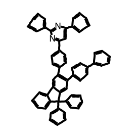 c1ccc(-c2ccc(-c3cc4c(cc3-c3ccc(-c5cc(-c6ccccc6)nc(-c6ccccc6)n5)cc3)-c3ccccc3C4(c3ccccc3)c3ccccc3)cc2)cc1